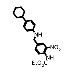 CCOC(=O)Nc1ccc(CNc2ccc(C3CCCCC3)cc2)cc1[N+](=O)[O-]